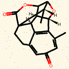 Cc1cc(=O)cc2c3c1[C@H]1OC4C5OC(=O)C(CC2)([C@H]3[C@@H]51)[C@H]4C